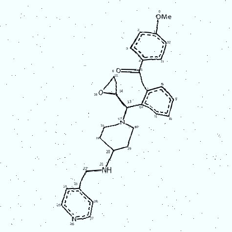 COc1ccc(C(=O)c2ccccc2C(C2CO2)N2CCC(NCc3ccncc3)CC2)cc1